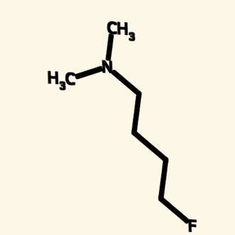 CN(C)CCCCF